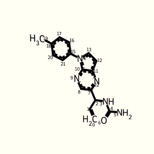 C=CC(NC(N)=O)c1cnc2c(ccn2-c2ccc(C)cc2)n1